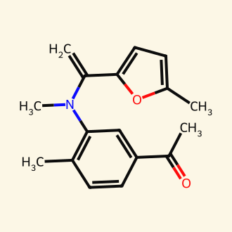 C=C(c1ccc(C)o1)N(C)c1cc(C(C)=O)ccc1C